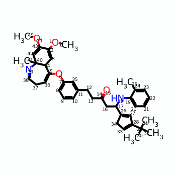 COC1=CC2C(Oc3cccc(CCC(=O)CC(Nc4ccccc4C)C4=CC(C(C)(C)C)=CC4)c3)=CCC=NC2(C)C=C1OC